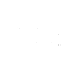 [NH]c1ccc2cc(C(=O)O)ccc2c1C(=O)O